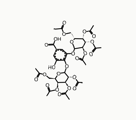 CC(=O)OC[C@H]1OC(Oc2cc(C(=O)O)cc(O)c2OC2O[C@H](COC(C)=O)[C@H](OC(C)=O)[C@H](OC(C)=O)[C@H]2OC(C)=O)[C@H](OC(C)=O)[C@@H](OC(C)=O)[C@H]1OC(C)=O